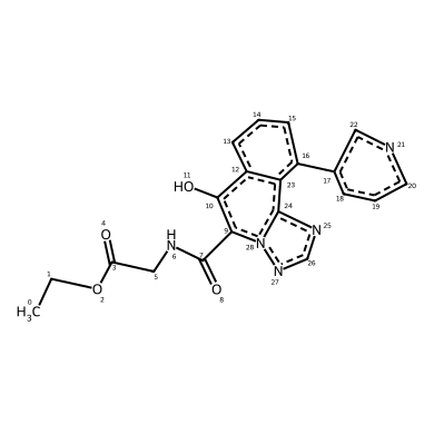 CCOC(=O)CNC(=O)c1c(O)c2cccc(-c3cccnc3)c2c2ncnn12